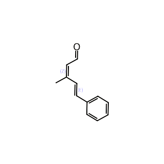 CC(=C/C=O)/C=C/c1ccccc1